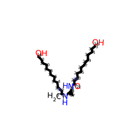 C=C(/C=C/CCCCCCCCCCO)N[C@@H]1C[C@@H]1NC(=O)/C=C/CCCCCCCCCCO